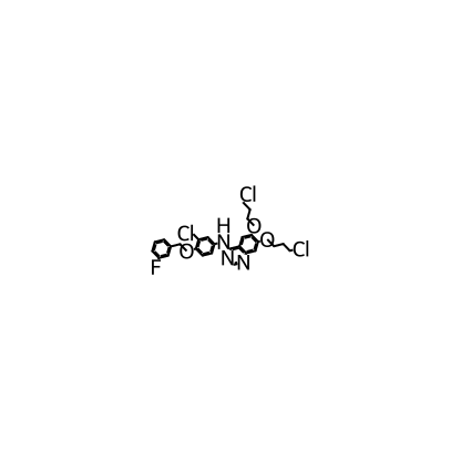 Fc1cccc(COc2ccc(Nc3ncnc4cc(OCCCCl)c(OCCCCl)cc34)cc2Cl)c1